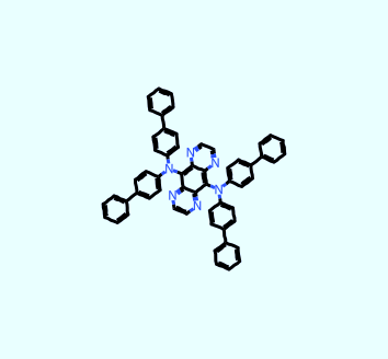 c1ccc(-c2ccc(N(c3ccc(-c4ccccc4)cc3)c3c4nccnc4c(N(c4ccc(-c5ccccc5)cc4)c4ccc(-c5ccccc5)cc4)c4nccnc34)cc2)cc1